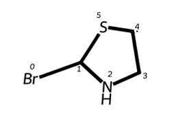 BrC1NC[CH]S1